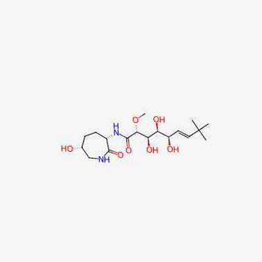 CO[C@@H](C(=O)N[C@H]1CC[C@@H](O)CNC1=O)[C@H](O)[C@@H](O)[C@H](O)C=CC(C)(C)C